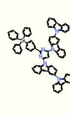 c1ccc([Si](c2ccccc2)(c2ccccc2)c2ccc(-c3nc(-n4c5ccccc5c5cc(-n6c7ccccc7c7ccccc76)ccc54)cc(-n4c5ccccc5c5cc(-n6c7ccccc7c7ccccc76)ccc54)n3)cc2)cc1